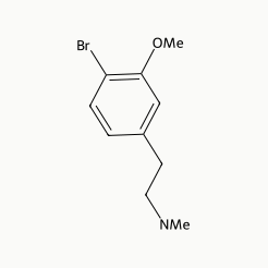 CNCCc1ccc(Br)c(OC)c1